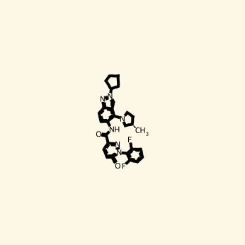 C[C@H]1CCN(c2c(NC(=O)c3ccc(=O)n(-c4c(F)cccc4F)n3)ccc3nn(C4CCCC4)cc23)C1